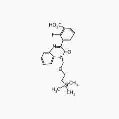 C[Si](C)(C)CCOCn1c(=O)c(-c2cccc(C(=O)O)c2F)nc2ccccc21